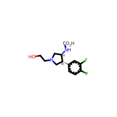 O=C(O)N[C@@H]1CN(CCO)C[C@H]1c1ccc(F)c(F)c1